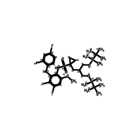 COc1cc(F)c(F)c(Nc2ccc(I)cc2F)c1NS(=O)(=O)C1(CC(CO[Si](C)(C)C(C)(C)C)CO[Si](C)(C)C(C)(C)C)CC1